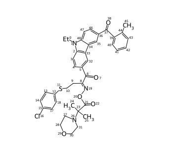 CCn1c2ccc(C(=O)/C(CCSc3ccc(Cl)cc3)=N/OC(=O)C(C)(C)N3CCOCC3)cc2c2cc(C(=O)c3ccccc3C)ccc21